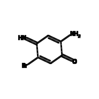 N=C1C=C(N)C(=O)C=C1Br